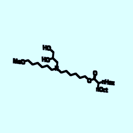 CCCCCCCCC(CCCCCC)C(=O)OCCCCCCN(CCCCCCOC)CC(O)CO